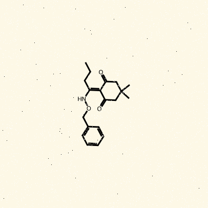 CCCC(NOCc1ccccc1)=C1C(=O)CC(C)(C)CC1=O